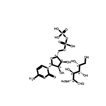 CC(=O)N[C@@H](C=O)[C@@H](O)[C@@H](O)[C@H](O)CO.Nc1ccn([C@@H]2O[C@H](COP(=O)(O)OP(=O)(O)O)[C@@H](O)[C@H]2O)c(=O)n1